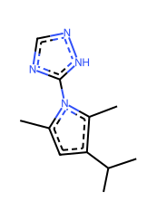 Cc1cc(C(C)C)c(C)n1-c1ncn[nH]1